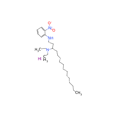 CCCCCCCCCCCCCC(CCNc1ccccc1[N+](=O)[O-])N(CC)CC.I